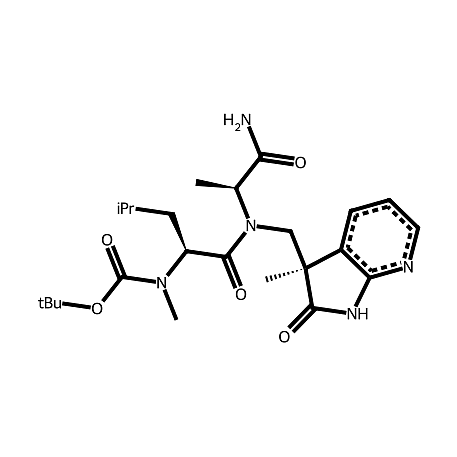 CC(C)C[C@@H](C(=O)N(C[C@]1(C)C(=O)Nc2ncccc21)[C@@H](C)C(N)=O)N(C)C(=O)OC(C)(C)C